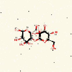 OC[C@H]1O[C@@H](O[C@@H]2[C@@H](CO)OC(O)[C@H](O)C2(O)O)C(O)(O)[C@@H](O)[C@H]1O